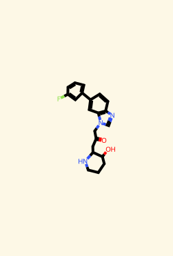 O=C(CC1NCCCC1O)Cn1cnc2ccc(-c3cccc(F)c3)cc21